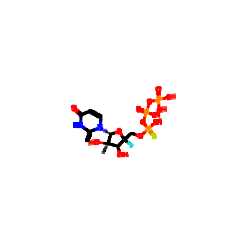 C=C1NC(=O)C=CN1[C@@H]1O[C@](F)(COP(O)(=S)OP(=O)(O)OP(=O)(O)O)[C@@H](O)[C@@]1(C)O